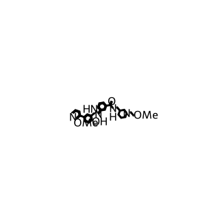 COCCN1CCCC(CNC(=O)c2ccc3[nH]c(-c4cc(-c5cccnc5OC)ccc4O)nc3c2)C1